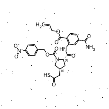 C=CCOC(=O)c1ccc(C(N)=O)cc1NC(=O)[C@@H]1C[C@@H](CC(=O)S)CN1C(=O)OCc1ccc([N+](=O)[O-])cc1